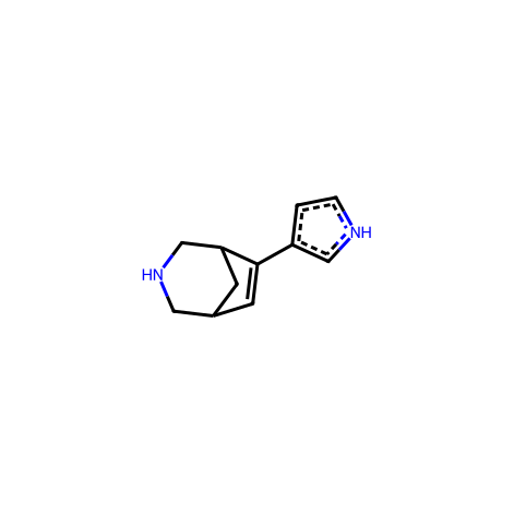 C1=C(c2cc[nH]c2)C2CNCC1C2